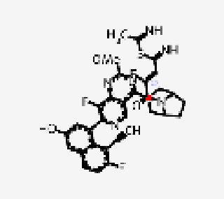 C#Cc1c(F)ccc2cc(O)cc(-c3ncc4c(N5CC6CCC(C5)N6C(=O)/C(F)=C/C(=N)SC(C)=N)nc(OC)nc4c3F)c12